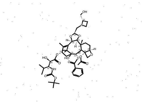 CC(=O)O[C@@]12CO[C@@H]1CC[C@@]1(C)[C@@H]3O[C@H](CN4CC[C@H]4CO)O[C@@H]3C3=C(C)[C@@H](OC(=O)[C@H](O)[C@@H](NC(=O)OC(C)(C)C)C(C)C)C[C@@](O)([C@@H](OC(=O)c4ccccc4)[C@@H]12)C3(C)C